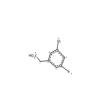 CCc1cc(F)cc(CC(=O)O)c1